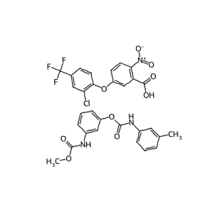 COC(=O)Nc1cccc(OC(=O)Nc2cccc(C)c2)c1.O=C(O)c1cc(Oc2ccc(C(F)(F)F)cc2Cl)ccc1[N+](=O)[O-]